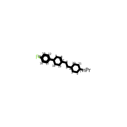 CCCC1CCC(CCC2=CCC(c3ccc(F)cc3)CC2)CC1